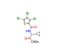 COC(=O)C(NC(=O)c1sc(Br)c(Br)c1Br)C1CC1